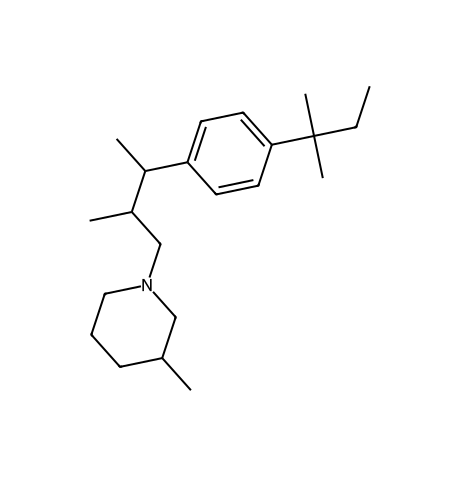 CCC(C)(C)c1ccc(C(C)C(C)CN2CCCC(C)C2)cc1